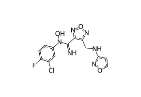 N=C(c1nonc1CNc1ccon1)N(O)c1ccc(F)c(Cl)c1